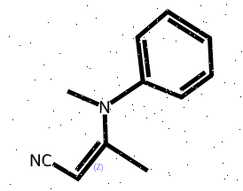 C/C(=C/C#N)N(C)c1ccccc1